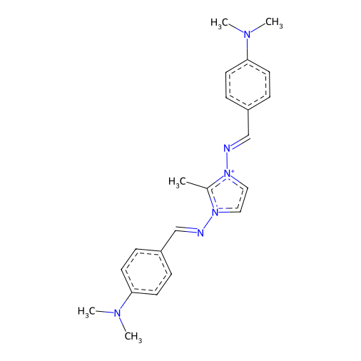 Cc1n(/N=C/c2ccc(N(C)C)cc2)cc[n+]1/N=C/c1ccc(N(C)C)cc1